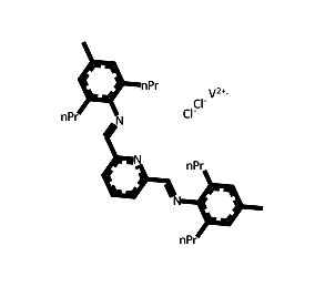 CCCc1cc(C)cc(CCC)c1N=Cc1cccc(C=Nc2c(CCC)cc(C)cc2CCC)n1.[Cl-].[Cl-].[V+2]